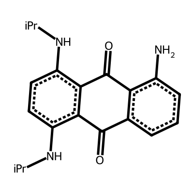 CC(C)Nc1ccc(NC(C)C)c2c1C(=O)c1cccc(N)c1C2=O